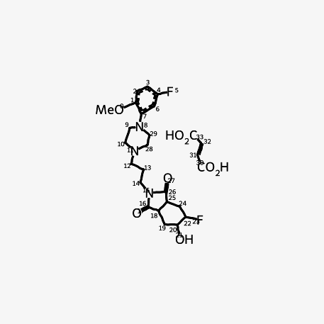 COc1ccc(F)cc1N1CCN(CCCN2C(=O)C3CC(O)C(F)CC3C2=O)CC1.O=C(O)C=CC(=O)O